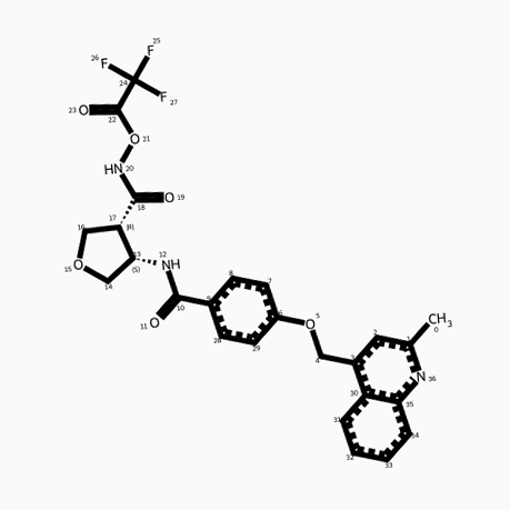 Cc1cc(COc2ccc(C(=O)N[C@@H]3COC[C@@H]3C(=O)NOC(=O)C(F)(F)F)cc2)c2ccccc2n1